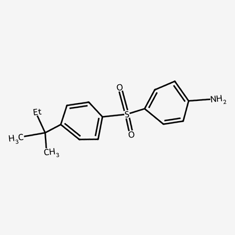 CCC(C)(C)c1ccc(S(=O)(=O)c2ccc(N)cc2)cc1